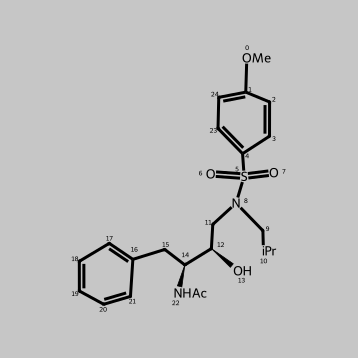 COc1ccc(S(=O)(=O)N(CC(C)C)C[C@@H](O)[C@H](Cc2ccccc2)NC(C)=O)cc1